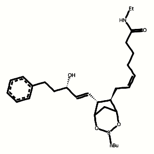 CCCCB1OC2CC(O1)[C@H](C/C=C\CCCC(=O)NCC)[C@H]2/C=C/[C@@H](O)CCc1ccccc1